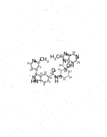 Cc1cc(-c2n[nH]c3ccc(C(=O)N[C@@H]4CCC[C@](O)(Cn5c(C)nc6cnccc65)C4)cc23)ccn1